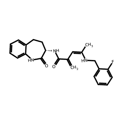 C=C(/C=C(/C)NCc1ccccc1F)C(=O)N[C@H]1CCc2ccccc2NC1=O